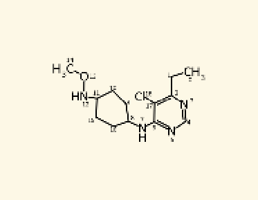 CCc1ncnc(NC2CCC(NOC)CC2)c1Cl